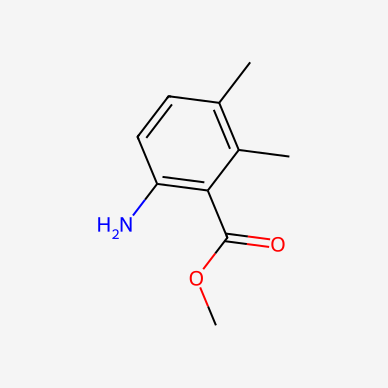 COC(=O)c1c(N)ccc(C)c1C